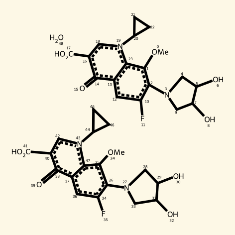 COc1c(N2CC(O)C(O)C2)c(F)cc2c(=O)c(C(=O)O)cn(C3CC3)c12.COc1c(N2CC(O)C(O)C2)c(F)cc2c(=O)c(C(=O)O)cn(C3CC3)c12.O